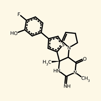 CN1C(=N)N[C@](C)(c2cc(-c3ccc(F)c(O)c3)cs2)C(N2C=CCC2)C1=O